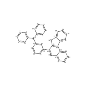 c1ccc(B(c2ccccc2)c2cccc(-c3nc4ccncc4c4c3sc3ccccc34)c2)cc1